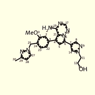 COc1cc(-c2cc(-c3cnn(CCO)c3)n3ncnc(N)c23)ccc1Cn1ccc(C)n1